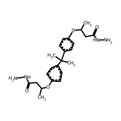 CC(CC(=O)NN)Oc1ccc(C(C)(C)c2ccc(OC(C)CC(=O)NN)cc2)cc1